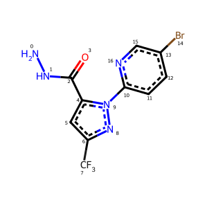 NNC(=O)c1cc(C(F)(F)F)nn1-c1ccc(Br)cn1